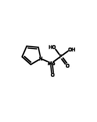 [O]=[Mo]([n]1cccc1)[P](=O)(O)O